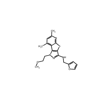 COCCn1nc(NCc2ccco2)c2sc3nc(C)cc(C)c3c21